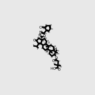 CC(C)C1=C2C3CC[C@@H]4C5(C)CCC(OC(=O)CC(C)(C)C(=O)O)C(C)(C)[C@@H]5CCC4(C)[C@]3(C)CC[C@@]2(c2nnc(-c3ccccc3Cl)o2)CC1=O